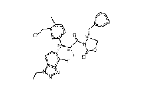 CCn1nnc2c(F)c([C@H](c3ccc(C)c(CCl)c3)[C@@H](C)C(=O)N3C(=O)OC[C@H]3Cc3ccccc3)ccc21